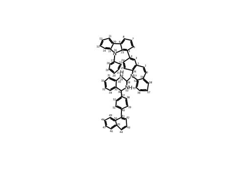 C1=Cc2cc(-c3cccc4c5ccccc5n(-c5ccccc5)c34)ccc2N(C2Nc3ccccc3C(c3ccc(-c4cccc5ccccc45)cc3)N2)c2ccccc21